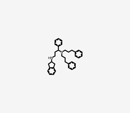 c1ccc(CCCN(CCCc2ccccc2)C(CCNC2Cc3ccccc3C2)c2ccccc2)cc1